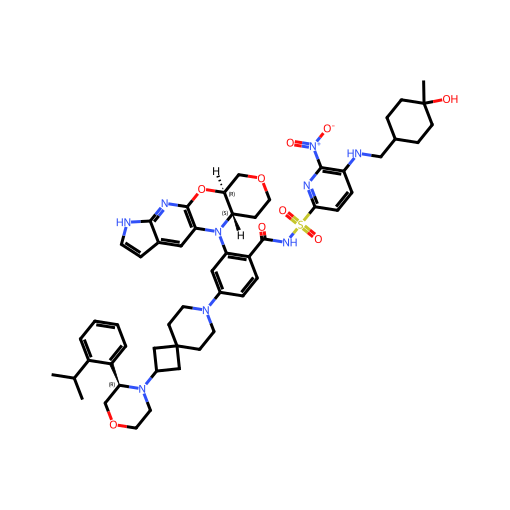 CC(C)c1ccccc1[C@@H]1COCCN1C1CC2(CCN(c3ccc(C(=O)NS(=O)(=O)c4ccc(NCC5CCC(C)(O)CC5)c([N+](=O)[O-])n4)c(N4c5cc6cc[nH]c6nc5O[C@H]5COCC[C@@H]54)c3)CC2)C1